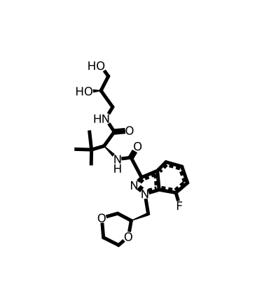 CC(C)(C)[C@H](NC(=O)c1nn(C[C@@H]2COCCO2)c2c(F)cccc12)C(=O)NC[C@@H](O)CO